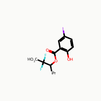 CC(C)C(OC(=O)c1cc(I)ccc1O)C(F)(F)C(=O)O